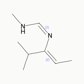 C/C=C(\N=C/NC)C(C)C